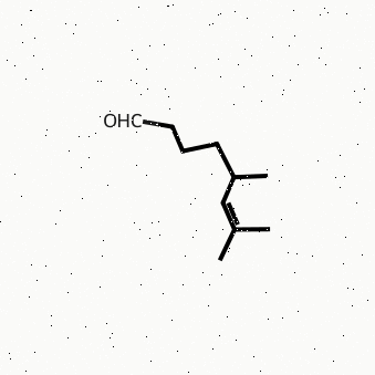 CC(C)=CC(C)CCCC=O